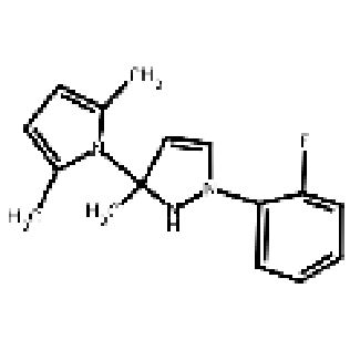 Cc1ccc(C)n1C1(C)C=CN(c2ccccc2F)N1